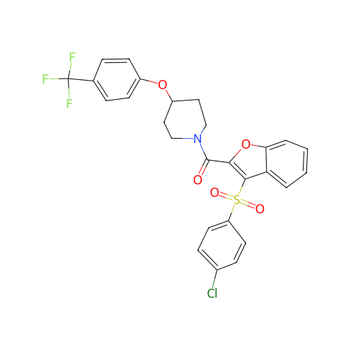 O=C(c1oc2ccccc2c1S(=O)(=O)c1ccc(Cl)cc1)N1CCC(Oc2ccc(C(F)(F)F)cc2)CC1